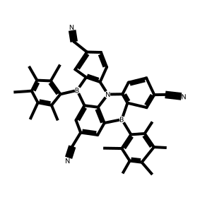 Cc1c(C)c(C)c(B2c3cc(C#N)ccc3N3c4ccc(C#N)cc4B(c4c(C)c(C)c(C)c(C)c4C)c4cc(C#N)cc2c43)c(C)c1C